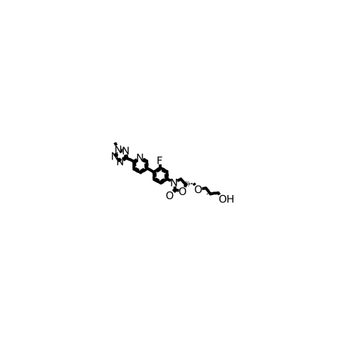 Cn1nnc(-c2ccc(-c3ccc(N4C[C@H](COC[CH]CO)OC4=O)cc3F)cn2)n1